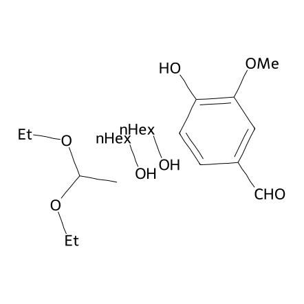 CCCCCCO.CCCCCCO.CCOC(C)OCC.COc1cc(C=O)ccc1O